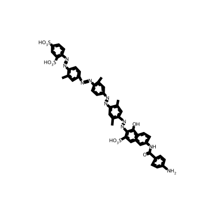 Cc1cc(N=Nc2cc(C)c(N=Nc3c(S(=O)(=O)O)cc4cc(NC(=O)c5ccc(N)cc5)ccc4c3O)cc2C)ccc1N=Nc1ccc(N=Nc2ccc(S(=O)(=O)O)cc2S(=O)(=O)O)c(C)c1